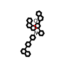 c1ccc(N(c2ccc(-c3ccc(-c4cccc5ccccc45)cc3)cc2)c2ccc3c(ccc4ccccc43)c2)c(-c2ccc3oc4c5ccccc5ccc4c3c2)c1